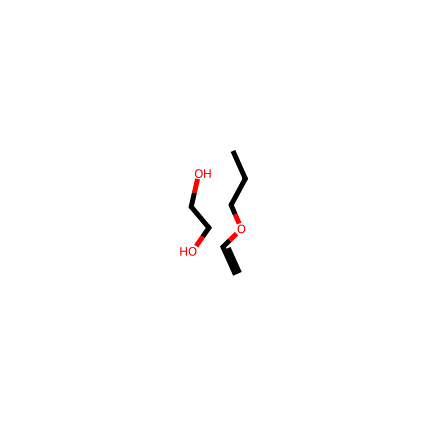 C=COCCC.OCCO